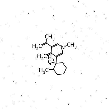 C=C(C)C1=CN(C)C=C(C2(C)CCCCC2C)C1=C